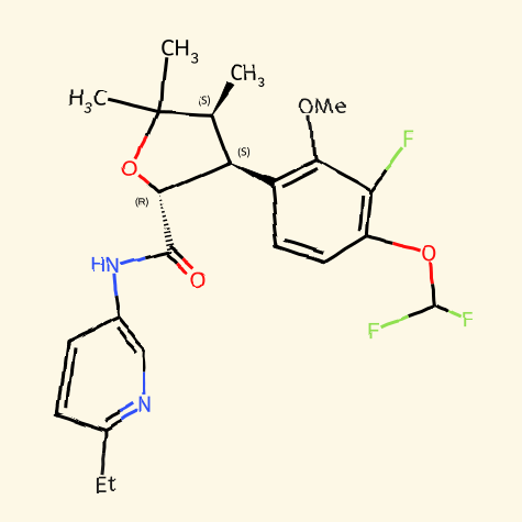 CCc1ccc(NC(=O)[C@@H]2OC(C)(C)[C@@H](C)[C@H]2c2ccc(OC(F)F)c(F)c2OC)cn1